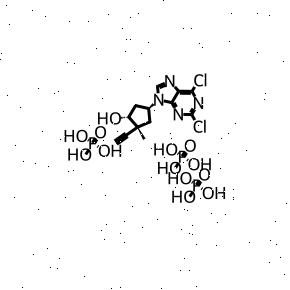 C#C[C@@]1(C)C[C@H](n2cnc3c(Cl)nc(Cl)nc32)C[C@H]1O.O=P(O)(O)O.O=P(O)(O)O.O=P(O)(O)O